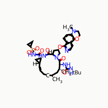 C[C@H]1CCC=C[C@@H]2C[C@@]2(C(=O)NS(=O)(=O)C2CC2)NC(=O)[C@@H]2C[C@@H](Oc3nccc4c5c(ccc34)N(C)CCO5)CN2C(=O)[C@@H](NC(=O)NC(C)(C)C)[C@H](C)C1